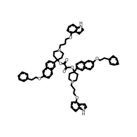 O=C(OC1(c2ccc3cc(OCCc4ccccc4)ccc3c2)CCN(CCCOc2cccc3[nH]ccc23)CC1)C(=O)OC1(c2ccc3cc(OCCc4ccccc4)ccc3c2)CCN(CCCOc2cccc3[nH]ccc23)CC1